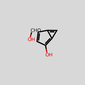 O=CO.Oc1ccc2cc1-2